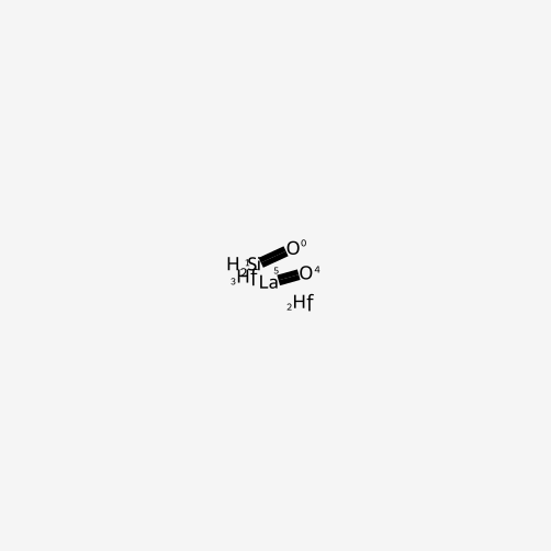 O=[SiH2].[Hf].[Hf].[O]=[La]